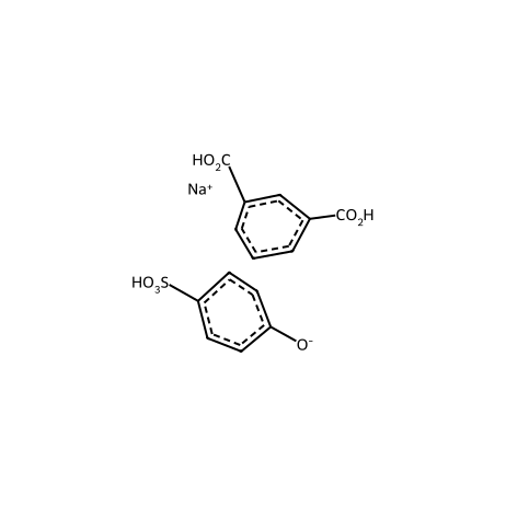 O=C(O)c1cccc(C(=O)O)c1.O=S(=O)(O)c1ccc([O-])cc1.[Na+]